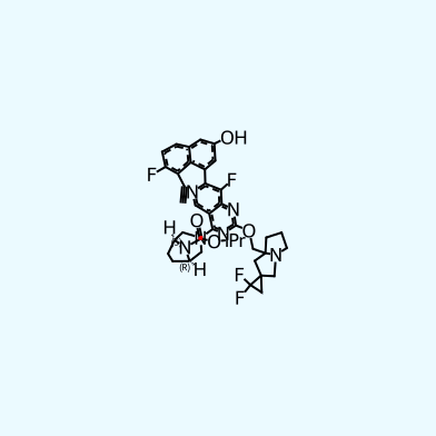 C#Cc1c(F)ccc2cc(O)cc(-c3ncc4c(N5C[C@H]6CC[C@@H](C5)N6C(=O)OC(C)C)nc(OCC56CCCN5CC5(C6)CC5(F)F)nc4c3F)c12